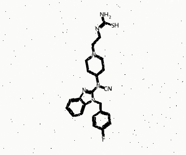 N#CN(c1nc2ccccc2n1Cc1ccc(F)cc1)C1CCN(CCN=C(N)S)CC1